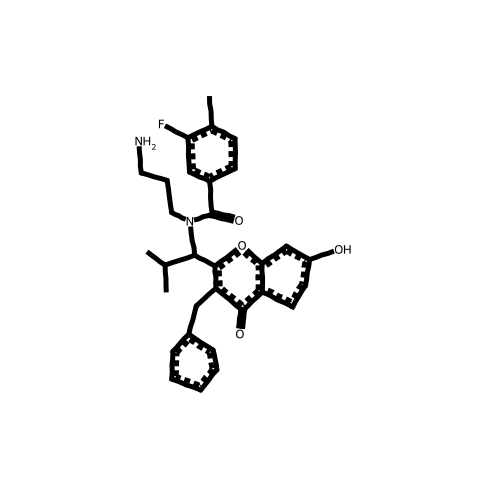 Cc1ccc(C(=O)N(CCCN)C(c2oc3cc(O)ccc3c(=O)c2Cc2ccccc2)C(C)C)cc1F